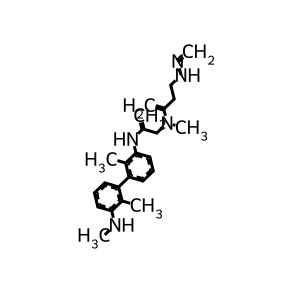 C=NNCCC(=C)N(C)CC(=C)Nc1cccc(-c2cccc(NC)c2C)c1C